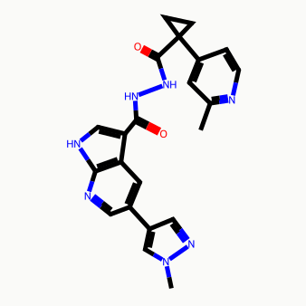 Cc1cc(C2(C(=O)NNC(=O)c3c[nH]c4ncc(-c5cnn(C)c5)cc34)CC2)ccn1